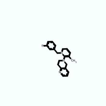 CC1=C(N2CCc3ncccc3C2)N(Cc2cccc(F)c2)CC=C1